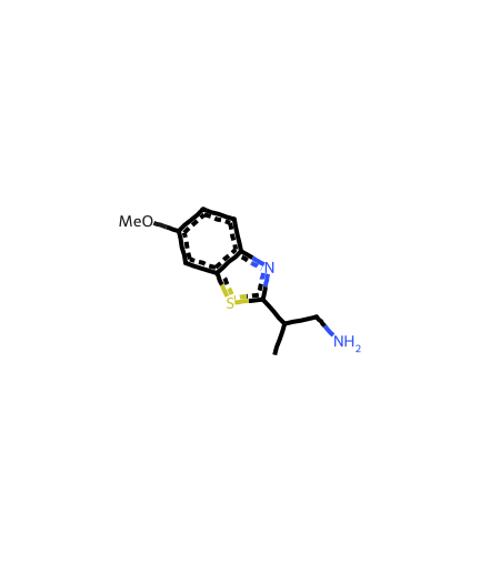 COc1ccc2nc(C(C)CN)sc2c1